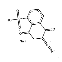 [N-]=[N+]=C1CC(=O)c2c(cccc2S(=O)(=O)O)C1=O.[NaH]